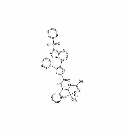 CC(C)(C)C(NC(=O)O)C(NC(=O)c1cc(-c2cccnc2)c(-c2ccnc3c2ccn3S(=O)(=O)c2ccccc2)s1)c1ccccc1